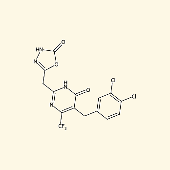 O=c1[nH]nc(Cc2nc(C(F)(F)F)c(Cc3ccc(Cl)c(Cl)c3)c(=O)[nH]2)o1